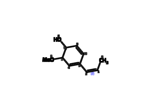 C/C=C\C1=CC(OC)[C](O)C=C1